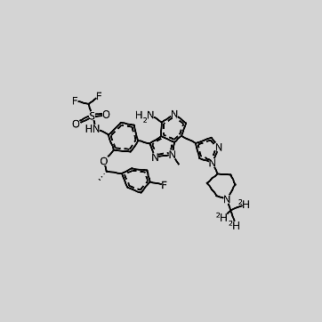 [2H]C([2H])([2H])N1CCC(n2cc(-c3cnc(N)c4c(-c5ccc(NS(=O)(=O)C(F)F)c(O[C@@H](C)c6ccc(F)cc6)c5)nn(C)c34)cn2)CC1